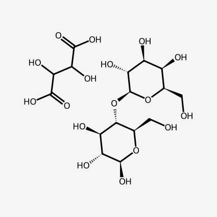 O=C(O)C(O)C(O)C(=O)O.OC[C@H]1O[C@@H](O[C@H]2[C@H](O)[C@@H](O)[C@H](O)O[C@@H]2CO)[C@H](O)[C@@H](O)[C@H]1O